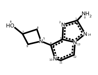 Nc1nc2c(N3CC(O)C3)nccn2n1